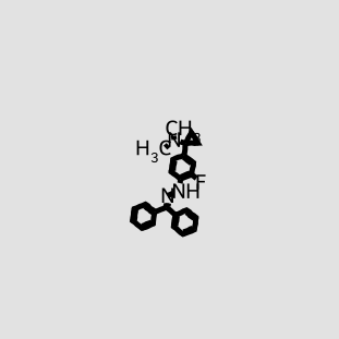 CN(C)C1(c2ccc(NN=C(c3ccccc3)c3ccccc3)c(F)c2)CC1